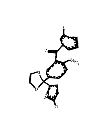 Nc1ccc(C2(c3ccc(Cl)s3)OCCO2)cc1C(=O)c1cccc(I)c1